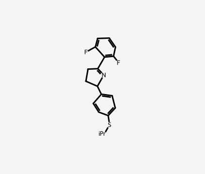 CC(C)Sc1ccc(C2CCC(c3c(F)cccc3F)=N2)cc1